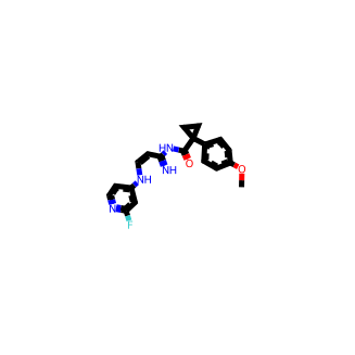 COc1ccc(C2(C(=O)NC(=N)/C=C\Nc3ccnc(F)c3)CC2)cc1